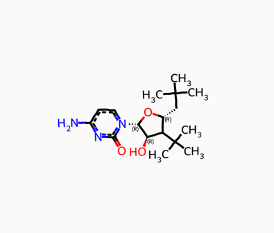 CC(C)(C)C[C@H]1O[C@@H](n2ccc(N)nc2=O)[C@H](O)C1C(C)(C)C